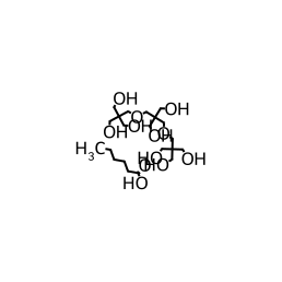 CCCCCC(=O)O.OCC(CO)(CO)COCC(CO)(CO)COCC(CO)(CO)CO